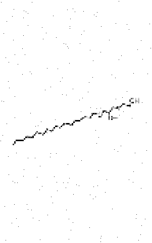 CCCCCCCCCCCCCCCCCCOCC(CSCCO)OC